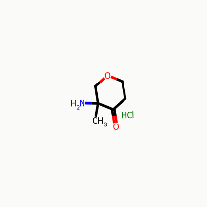 CC1(N)COCCC1=O.Cl